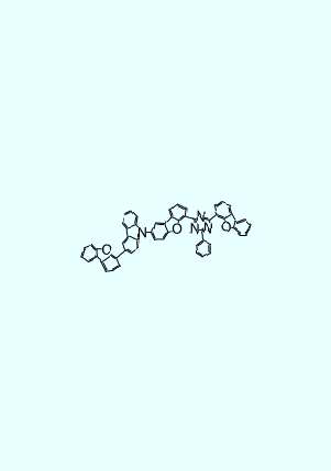 c1ccc(-c2nc(-c3cccc4c3oc3ccccc34)nc(-c3cccc4c3oc3ccc(-n5c6ccccc6c6cc(-c7cccc8c7oc7ccccc78)ccc65)cc34)n2)cc1